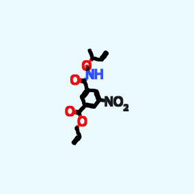 C=CCOC(=O)c1cc(C(=O)NOC(C)C=C)cc([N+](=O)[O-])c1